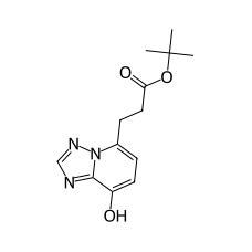 CC(C)(C)OC(=O)CCc1ccc(O)c2ncnn12